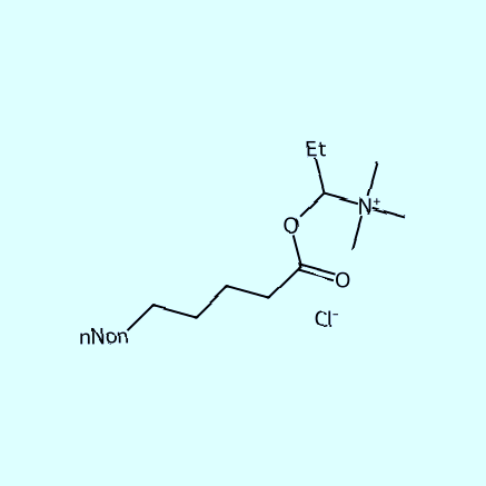 CCCCCCCCCCCCCC(=O)OC(CC)[N+](C)(C)C.[Cl-]